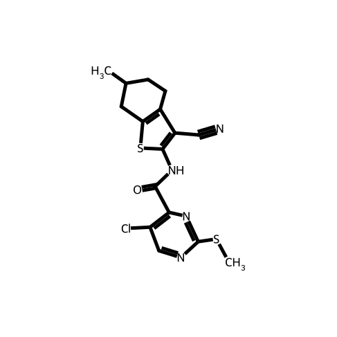 CSc1ncc(Cl)c(C(=O)Nc2sc3c(c2C#N)CCC(C)C3)n1